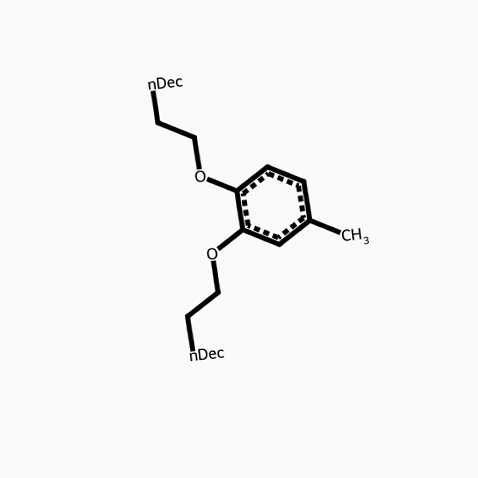 CCCCCCCCCCCCOc1ccc(C)cc1OCCCCCCCCCCCC